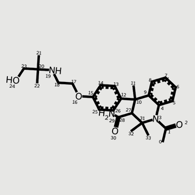 CC(=O)N1c2cc[c]cc2C(C)(c2ccc(OCCNC(C)(C)CO)cc2)C(C(N)=O)C1(C)C